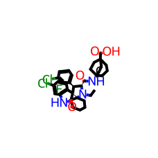 CCN1[C@@H](C(=O)NC23CCCC(C(=O)O)(CC2)CC3)[C@H](c2cccc(Cl)c2F)[C@]2(C(=O)Nc3cc(Cl)ccc32)C12CCCCC2